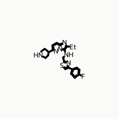 CCc1nc2ccc(C3CCNCC3)nn2c1NCc1nc(-c2ccc(F)cc2)cs1